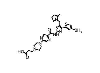 Bc1csc(-c2nc(NC(=O)c3cnc(N4CCN(CCC(=O)O)CC4)cn3)sc2CN2CCC[C@H]2C)c1